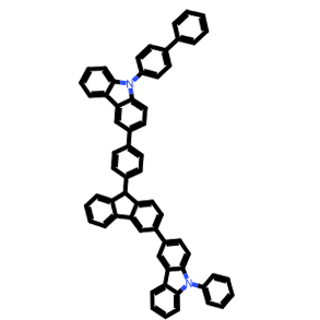 c1ccc(-c2ccc(-n3c4ccccc4c4cc(-c5ccc(C6c7ccccc7-c7cc(-c8ccc9c(c8)c8ccccc8n9-c8ccccc8)ccc76)cc5)ccc43)cc2)cc1